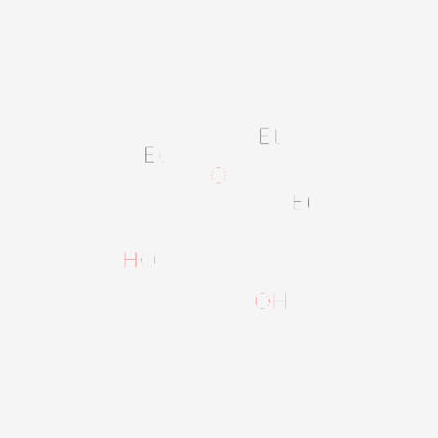 CCC(O)CO.CCOCC